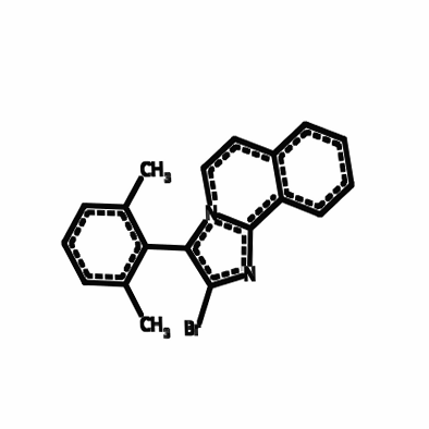 Cc1cccc(C)c1-c1c(Br)nc2c3ccccc3ccn12